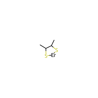 CC1[S][Er][S]C1C